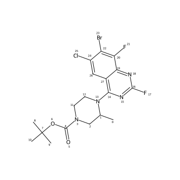 CC1CN(C(=O)OC(C)(C)C)CCN1c1nc(F)nc2c(F)c(Br)c(Cl)cc12